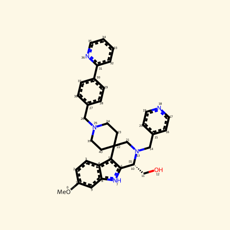 COc1ccc2c3c([nH]c2c1)[C@@H](CO)N(Cc1ccncc1)CC31CCN(Cc2ccc(-c3ccccn3)cc2)CC1